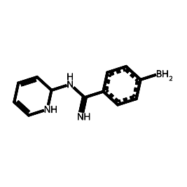 Bc1ccc(C(=N)NC2C=CC=CN2)cc1